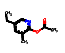 CCc1cnc(OC(C)=O)c(C)c1